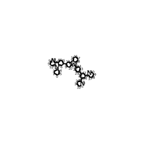 c1ccc(-n2c3cc(-c4ccc5c(c4)c4ccccc4n5-c4ccc(-c5cc(-c6ccccn6)cc(-c6ccccn6)c5)cc4)ccc3c3ncccc32)cc1